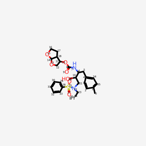 Cc1ccc(CC(NC(=O)OC2COC3OCCC23)C(O)CN(CC(C)C)S(=O)(=O)c2ccccc2)cc1